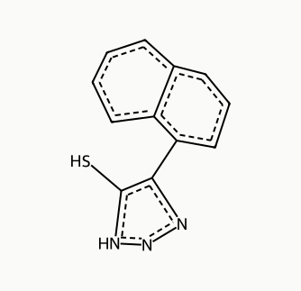 Sc1[nH]nnc1-c1cccc2ccccc12